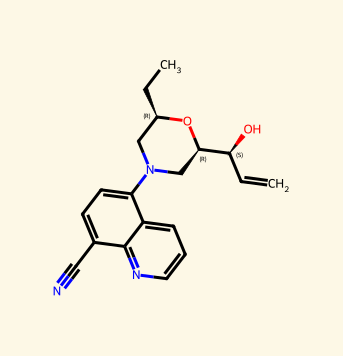 C=C[C@H](O)[C@H]1CN(c2ccc(C#N)c3ncccc23)C[C@@H](CC)O1